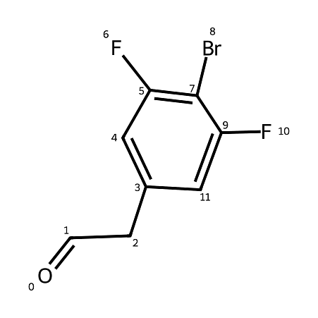 O=CCc1cc(F)c(Br)c(F)c1